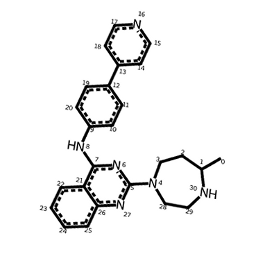 CC1CCN(c2nc(Nc3ccc(-c4ccncc4)cc3)c3ccccc3n2)CCN1